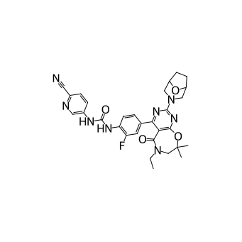 CCN1CC(C)(C)Oc2nc(N3CC4CCC(C3)O4)nc(-c3ccc(NC(=O)Nc4ccc(C#N)nc4)c(F)c3)c2C1=O